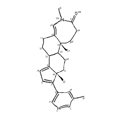 Cc1cncc(C2=CC=C3C4CCC5=CN(C)C(=O)CC[C@]5(C)C4CC[C@]23C)c1